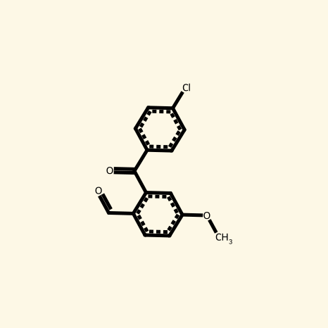 COc1ccc(C=O)c(C(=O)c2ccc(Cl)cc2)c1